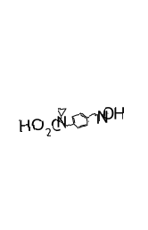 O=C(O)N(Cc1ccc(C=NO)cc1)C1CC1